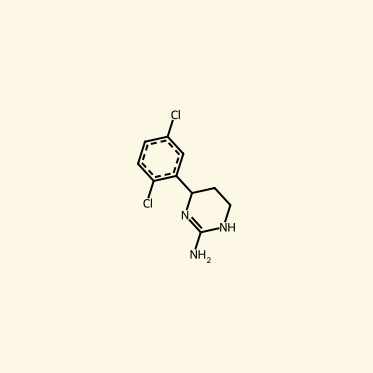 NC1=NC(c2cc(Cl)ccc2Cl)CCN1